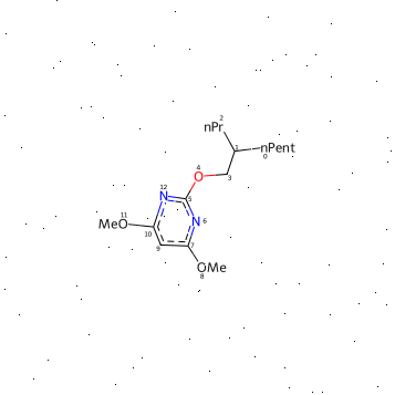 CCCCCC(CCC)COc1nc(OC)cc(OC)n1